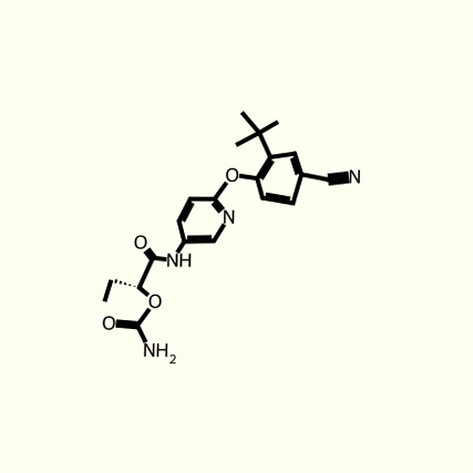 CC[C@@H](OC(N)=O)C(=O)Nc1ccc(Oc2ccc(C#N)cc2C(C)(C)C)nc1